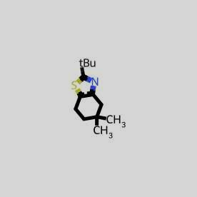 CC1(C)CCc2sc(C(C)(C)C)nc2C1